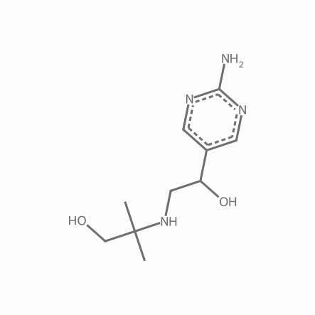 CC(C)(CO)NCC(O)c1cnc(N)nc1